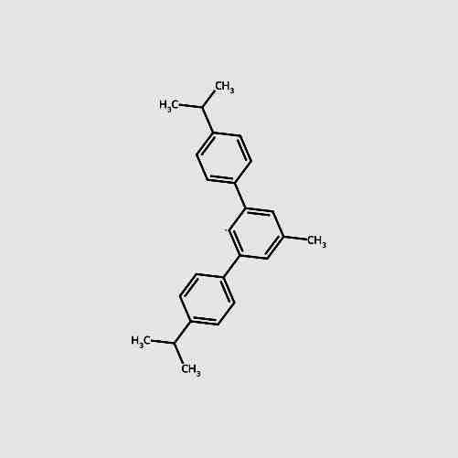 Cc1cc(-c2ccc(C(C)C)cc2)[c]c(-c2ccc(C(C)C)cc2)c1